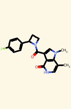 Cc1c[nH]c(=O)c2c(C(=O)N3CCC3c3ccc(F)cc3)cn(C)c12